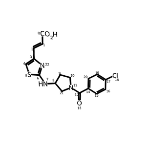 O=C(O)C=Cc1csc(NC2CCN(C(=O)c3ccc(Cl)cc3)C2)n1